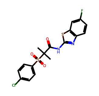 CC(C)(C(=O)Nc1nc2ccc(F)cc2s1)S(=O)(=O)c1ccc(Cl)cc1